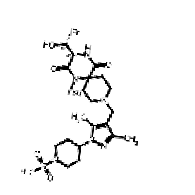 CCCCN1C(=O)[C@@H]([C@H](O)C(C)C)NC(=O)C12CCN(Cc1c(C)nn(C3CCN(S(C)(=O)=O)CC3)c1C)CC2